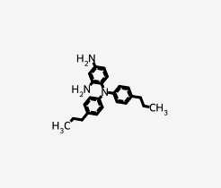 CCCc1ccc(N(c2ccc(CCC)cc2)c2ccc(N)cc2N)cc1